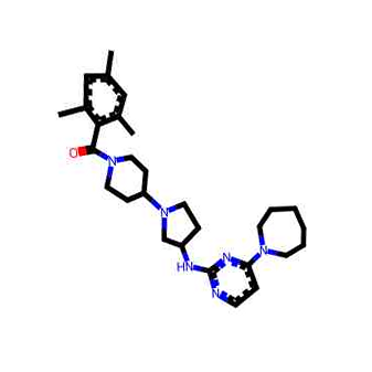 Cc1cc(C)c(C(=O)N2CCC(N3CCC(Nc4nccc(N5CCCCCC5)n4)C3)CC2)c(C)c1